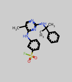 Cc1cnc(NC(C)(C)c2ccccc2)nc1Nc1cccc(S(=O)(=O)F)c1